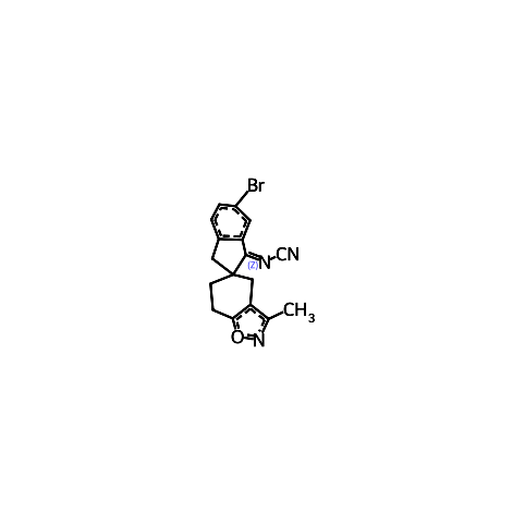 Cc1noc2c1CC1(CC2)Cc2ccc(Br)cc2/C1=N\C#N